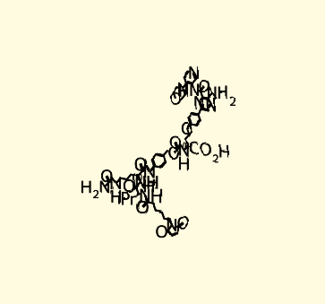 CC(C)C(NC(=O)CCCCCN1C(=O)C=CC1=O)C(=O)N[C@@H](CCCNC(N)=O)C(=O)Nc1ccc(COC(=O)N[C@H](CCOc2ccc(-c3cnc(N)c(C(=O)Nc4cnccc4N4CCOCC4)n3)cc2)C(=O)O)cc1